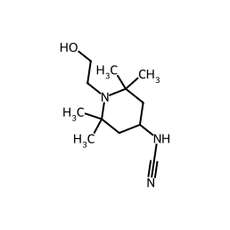 CC1(C)CC(NC#N)CC(C)(C)N1CCO